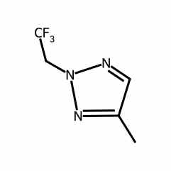 Cc1cnn(CC(F)(F)F)n1